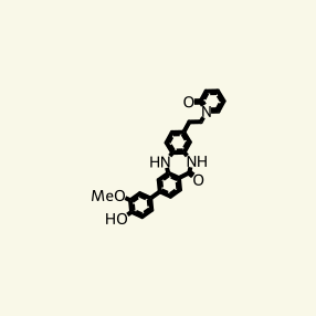 COc1cc(-c2ccc3c(c2)Nc2ccc(CCn4ccccc4=O)cc2NC3=O)ccc1O